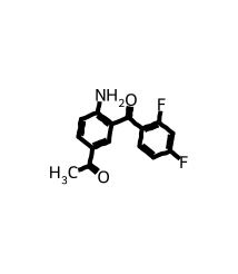 CC(=O)c1ccc(N)c(C(=O)c2ccc(F)cc2F)c1